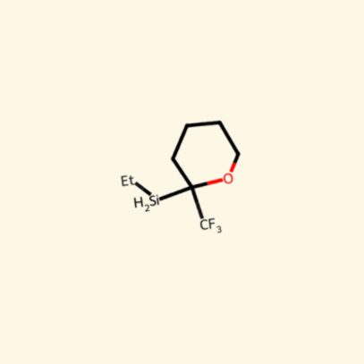 CC[SiH2]C1(C(F)(F)F)CCCCO1